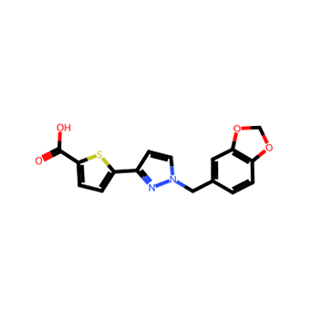 O=C(O)c1ccc(-c2ccn(Cc3ccc4c(c3)OCO4)n2)s1